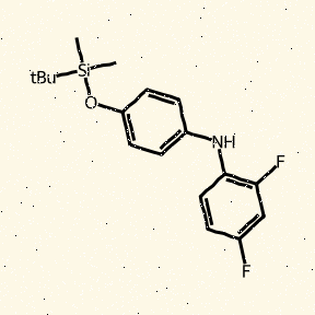 CC(C)(C)[Si](C)(C)Oc1ccc(Nc2ccc(F)cc2F)cc1